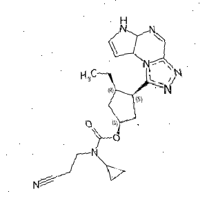 CC[C@@H]1C[C@H](OC(=O)N(CCC#N)C2CC2)C[C@@H]1c1nnc2n1C1C=CNC1N=C2